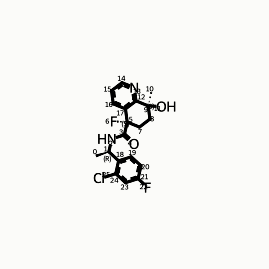 C[C@@H](NC(=O)[C@]1(F)CC[C@](C)(O)c2ncccc21)c1ccc(F)cc1Cl